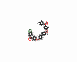 Cc1ccc(C(=O)c2ccc(Oc3ccc(-c4ccc(Oc5ccc(C(=O)c6ccc(Cl)cc6)cc5)cc4)cc3)cc2)cc1